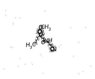 CCCCCc1c(/C=C/C(=O)NCCCCc2cccnc2)sc2cc(OC)ccc12